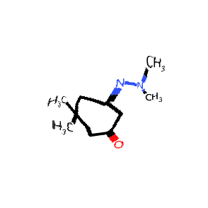 CN(C)/N=C1\CC(=O)CC(C)(C)C1